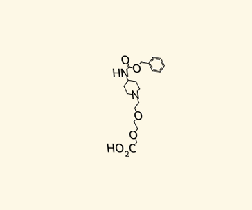 O=C(O)COCCOCCN1CCC(NC(=O)OCc2ccccc2)CC1